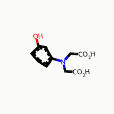 O=C(O)CN(CC(=O)O)c1cccc(O)c1